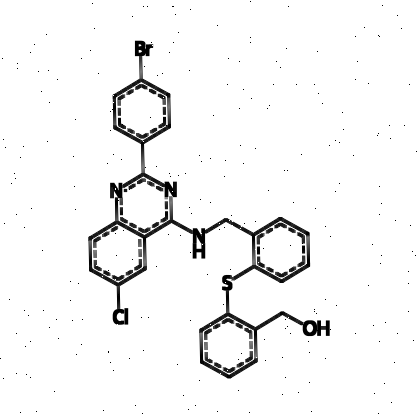 OCc1ccccc1Sc1ccccc1CNc1nc(-c2ccc(Br)cc2)nc2ccc(Cl)cc12